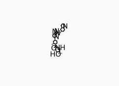 Cc1cc(-c2ccc3nnn(Cc4ccc5ncccc5c4)c3n2)ccc1C(=O)NOC[C@@H](C)O